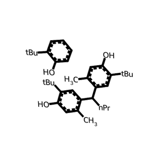 CC(C)(C)c1ccccc1O.CCCC(c1cc(C(C)(C)C)c(O)cc1C)c1cc(C(C)(C)C)c(O)cc1C